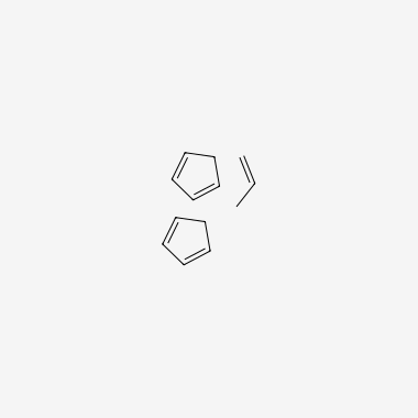 C1=CCC=C1.C1=CCC=C1.C=CC